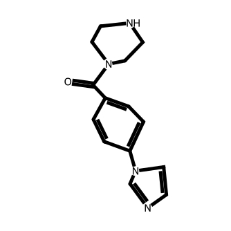 O=C(c1ccc(-n2ccnc2)cc1)N1CCNCC1